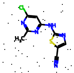 Cc1nc(Cl)cc(Nc2ncc(C#N)s2)n1